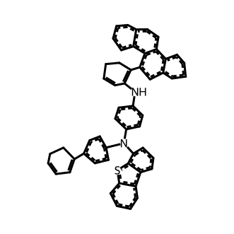 C1=CCCC(c2ccc(N(c3ccc(NC4=C(c5cc6ccccc6c6ccc7ccccc7c56)CCC=C4)cc3)c3cccc4c3sc3ccccc34)cc2)=C1